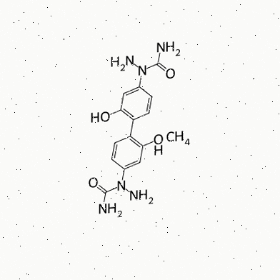 C.NC(=O)N(N)c1ccc(-c2ccc(N(N)C(N)=O)cc2O)c(O)c1